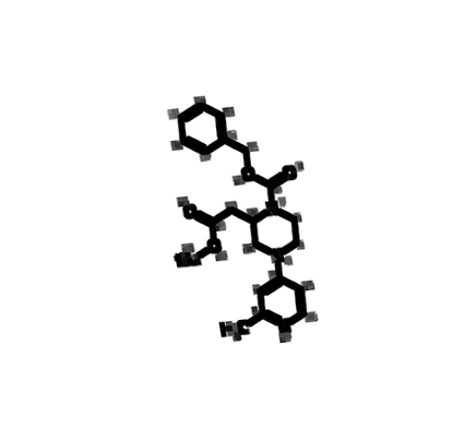 Cc1cc(N2CCN(C(=O)OCc3ccccc3)C(CC(=O)OC(C)(C)C)C2)ccn1